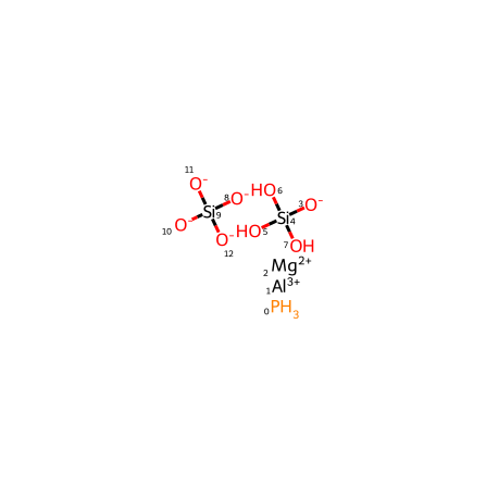 P.[Al+3].[Mg+2].[O-][Si](O)(O)O.[O-][Si]([O-])([O-])[O-]